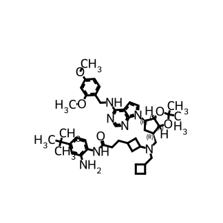 COc1ccc(CNc2ncnc3c2ccn3[C@@H]2C[C@H](CN(CC3CCC3)C3CC(CCC(=O)Nc4ccc(C(C)(C)C)cc4N)C3)[C@H]3OC(C)(C)O[C@H]32)c(OC)c1